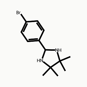 CC1(C)NC(c2ccc(Br)cc2)NC1(C)C